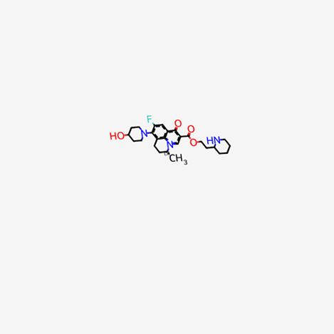 C[C@H]1CCc2c(N3CCC(O)CC3)c(F)cc3c(=O)c(C(=O)OCCC4CCCCN4)cn1c23